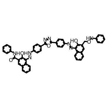 O=C(Nc1ccccc1)c1cc2ccccc2c(N=Nc2ccc(-c3nnc(-c4ccc(N=Nc5c(O)c(CONc6ccccc6)cc6ccccc56)cc4)o3)cc2)c1O